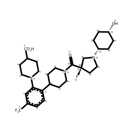 O=C(O)C1CCN(c2cc(C(F)(F)F)ccc2C2CCN(C(=O)[C@@]3(F)CCN([C@H]4CC[C@@H](O)CC4)C3)CC2)CC1